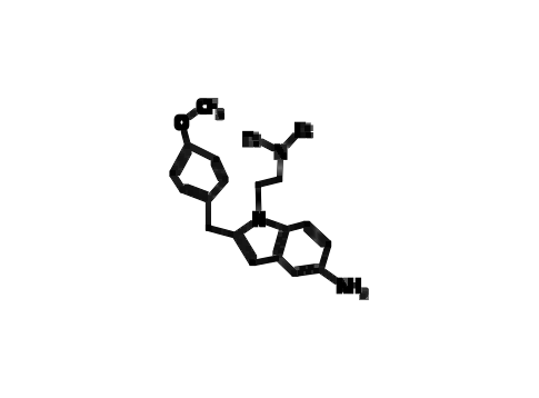 CCN(CC)CCn1c(Cc2ccc(OC(F)(F)F)cc2)cc2cc(N)ccc21